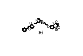 CCN1C(=O)C(C)(C)C(=O)N(C)c2cc(OCCCNCc3ccnc(CCn4ccc5oc(-c6ccccc6)cc5c4=O)c3)ccc21.Cl.Cl